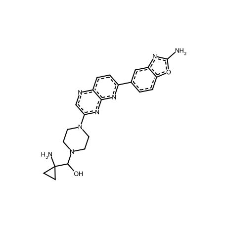 Nc1nc2cc(-c3ccc4ncc(N5CCN(C(O)C6(N)CC6)CC5)nc4n3)ccc2o1